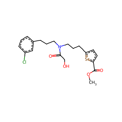 COC(=O)c1ccc(CCCN(CCCc2cccc(Cl)c2)C(=O)CO)s1